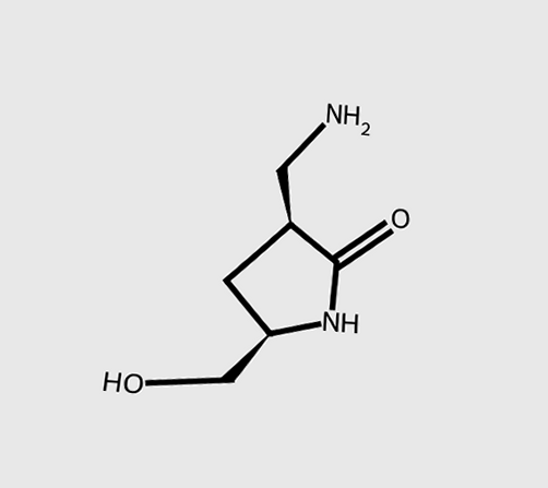 NC[C@@H]1C[C@H](CO)NC1=O